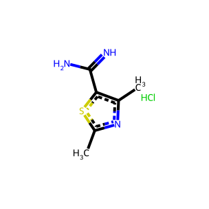 Cc1nc(C)c(C(=N)N)s1.Cl